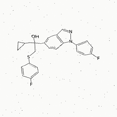 OC(CSc1ccc(F)cc1)(c1ccc2c(cnn2-c2ccc(F)cc2)c1)C1CC1